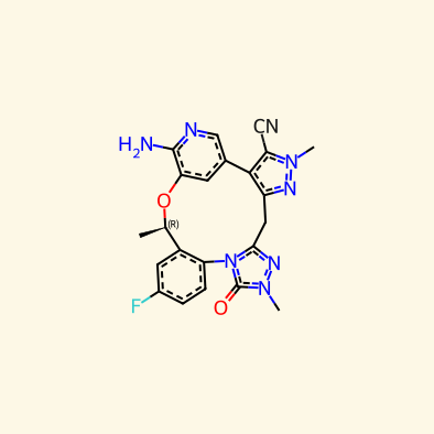 C[C@H]1Oc2cc(cnc2N)-c2c(nn(C)c2C#N)Cc2nn(C)c(=O)n2-c2ccc(F)cc21